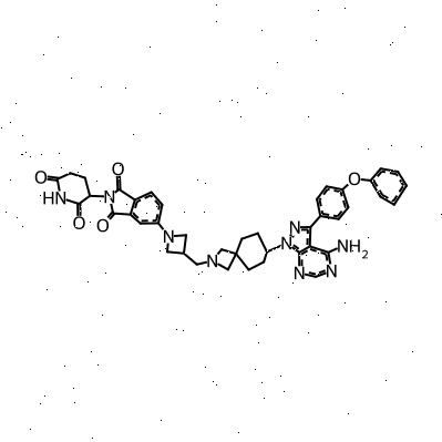 Nc1ncnc2c1c(-c1ccc(Oc3ccccc3)cc1)nn2C1CCC2(CC1)CN(CC1CN(c3ccc4c(c3)C(=O)N(C3CCC(=O)NC3=O)C4=O)C1)C2